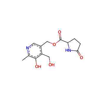 Cc1ncc(COC(=O)C2CCC(=O)N2)c(CO)c1O